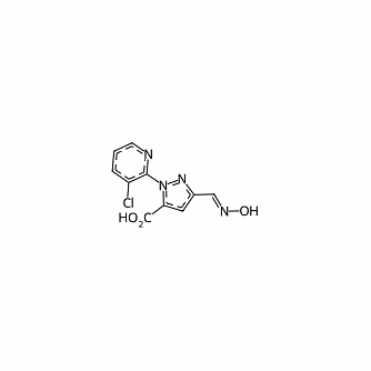 O=C(O)c1cc(C=NO)nn1-c1ncccc1Cl